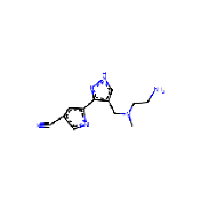 CN(CCN)Cc1c[nH]nc1-c1cc(C#N)c[nH]1